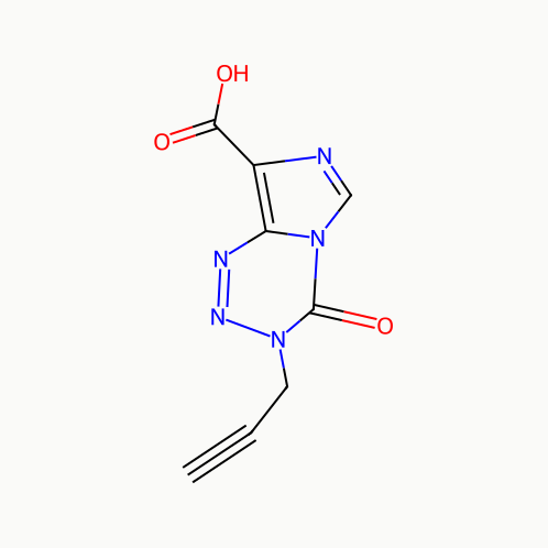 C#CCn1nnc2c(C(=O)O)ncn2c1=O